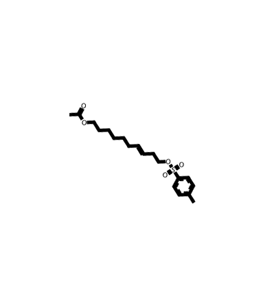 CC(=O)OCCCCCCC=CCCOS(=O)(=O)c1ccc(C)cc1